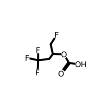 O=C(O)OC(CF)CC(F)(F)F